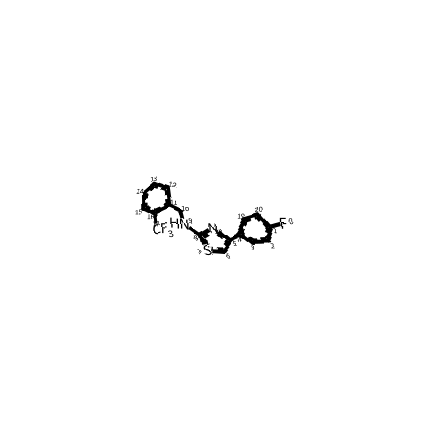 Fc1ccc(-c2csc(NCc3ccccc3C(F)(F)F)n2)cc1